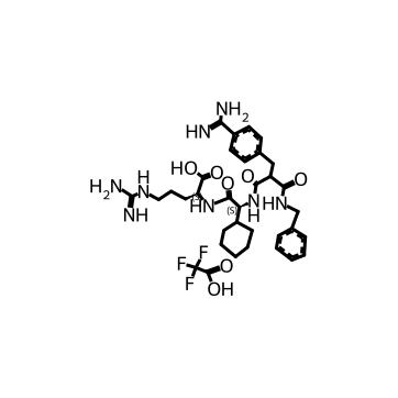 N=C(N)NCCC[C@H](NC(=O)[C@@H](NC(=O)C(Cc1ccc(C(=N)N)cc1)C(=O)NCc1ccccc1)C1CCCCC1)C(=O)O.O=C(O)C(F)(F)F